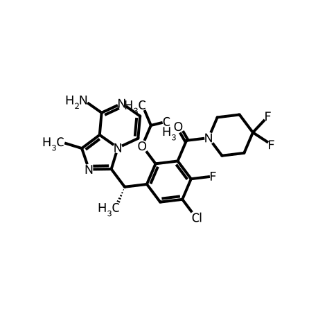 Cc1nc([C@@H](C)c2cc(Cl)c(F)c(C(=O)N3CCC(F)(F)CC3)c2OC(C)C)n2ccnc(N)c12